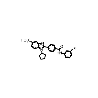 CC(C)c1cccc(NC(=O)c2ccc(-c3nc4cc(C(=O)O)ccc4n3C3CCCC3)cc2)c1